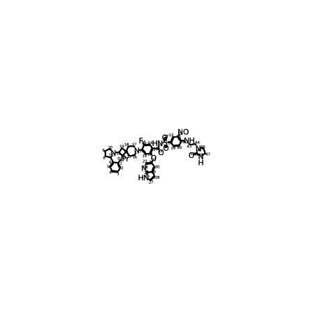 CC(C)c1ccccc1C1CCCN1C1CC2(CCN(c3cc(Oc4cnc5[nH]ccc5c4)c(C(=O)NS(=O)(=O)c4ccc(NCCN5CCNC5=O)c(N=O)c4)cc3F)CC2)C1